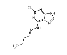 CCCC=NNc1nc(Cl)nc2[nH]cnc12